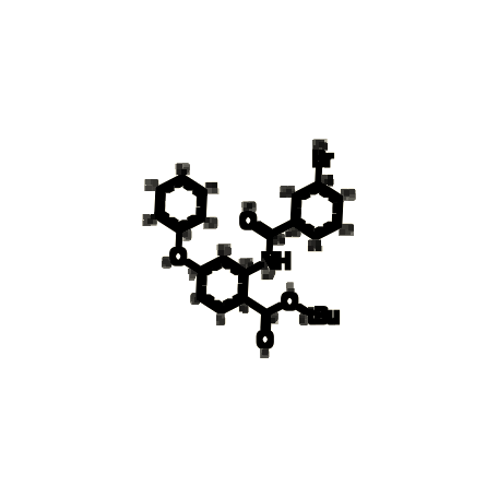 CC(C)(C)OC(=O)c1ccc(Oc2ccccc2)cc1NC(=O)c1cccc(Br)c1